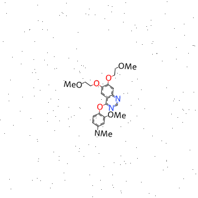 CNc1ccc(Oc2ncnc3cc(OCCOC)c(OCCOC)cc23)c(OC)c1